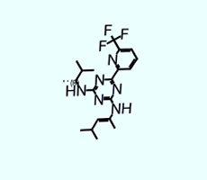 CC(=CC(C)C)Nc1nc(N[C@H](C)C(C)C)nc(-c2cccc(C(F)(F)F)n2)n1